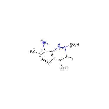 CC(CC=O)N(Nc1cccc(C(F)(F)F)c1N)C(=O)O